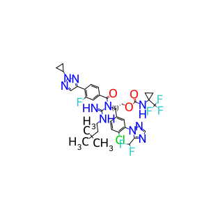 CC(C)(C)CCNC(=N)N(C(=O)c1ccc(-c2cnn(C3CC3)n2)c(F)c1)[C@H](COC(=O)NC1(C(F)(F)F)CC1)c1ccc(Cl)c(-n2ncnc2C(F)F)c1